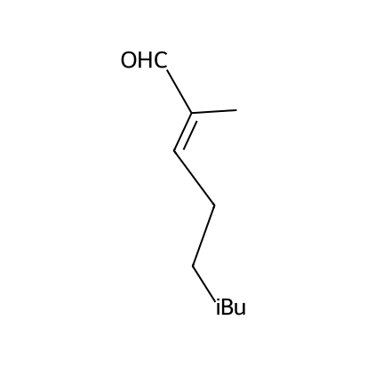 CCC(C)CCC=C(C)C=O